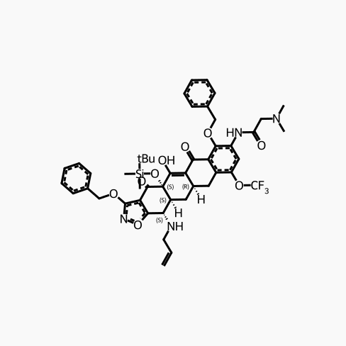 C=CCN[C@@H]1c2onc(OCc3ccccc3)c2C(=O)[C@@]2(O[Si](C)(C)C(C)(C)C)C(O)=C3C(=O)c4c(c(OC(F)(F)F)cc(NC(=O)CN(C)C)c4OCc4ccccc4)C[C@H]3C[C@@H]12